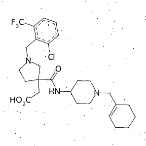 O=C(O)CC1(C(=O)NC2CCN(CC3=CCCCC3)CC2)CCN(Cc2c(Cl)cccc2C(F)(F)F)C1